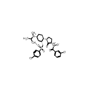 CC(C)N(C)[C@@H]1CC[C@H](N2CC[C@H]([NH+]([O-])C(=O)c3cccc(Cl)c3)C2=O)[C@H](CS(=O)(=O)c2ccc(Cl)cc2)C1